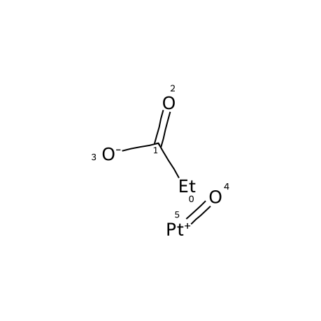 CCC(=O)[O-].[O]=[Pt+]